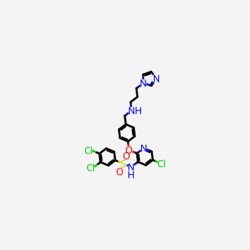 O=S(=O)(Nc1cc(Cl)cnc1Oc1ccc(CNCCCn2ccnc2)cc1)c1ccc(Cl)c(Cl)c1